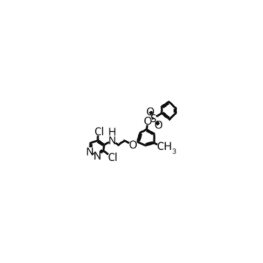 Cc1cc(OCCNc2c(Cl)cnnc2Cl)cc(OS(=O)(=O)c2ccccc2)c1